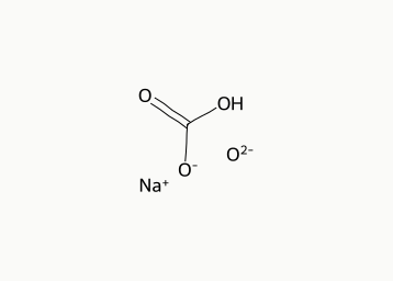 O=C([O-])O.[Na+].[O-2]